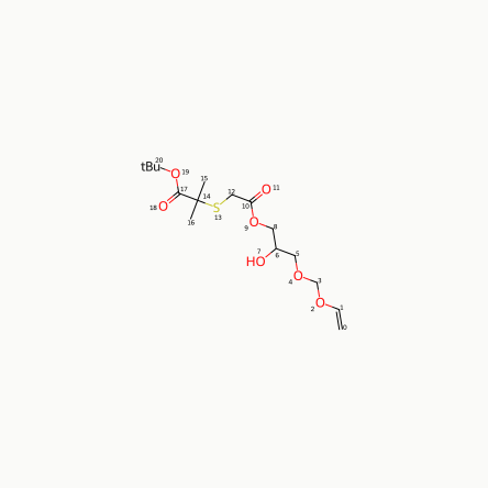 C=COCOCC(O)COC(=O)CSC(C)(C)C(=O)OC(C)(C)C